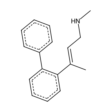 CNCC=C(C)c1ccccc1-c1ccccc1